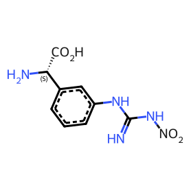 N=C(Nc1cccc([C@H](N)C(=O)O)c1)N[N+](=O)[O-]